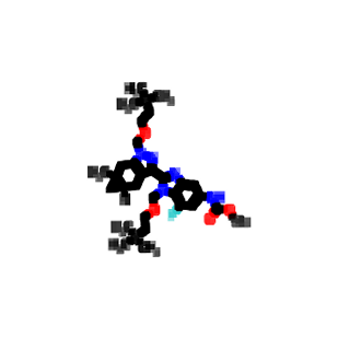 CC(C)(C)OC(=O)Nc1cc(F)c2c(c1)nc(-c1nn(COCC[Si](C)(C)C)c3c1C[C@@H]1C[C@]1(C)C3)n2COCC[Si](C)(C)C